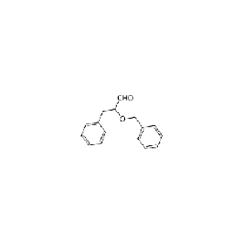 O=CC(Cc1ccccc1)OCc1ccccc1